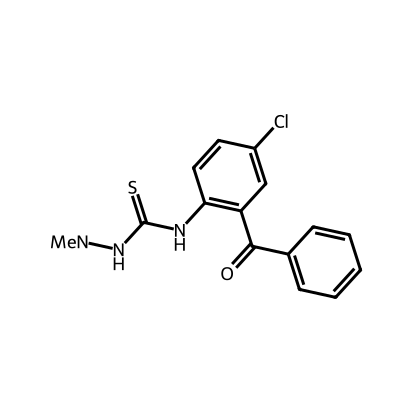 CNNC(=S)Nc1ccc(Cl)cc1C(=O)c1ccccc1